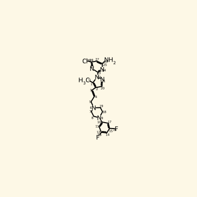 Cc1c(C=CCN2CCN(c3cc(F)cc(F)c3)CC2)cnn1-c1nc(N)cc(Cl)n1